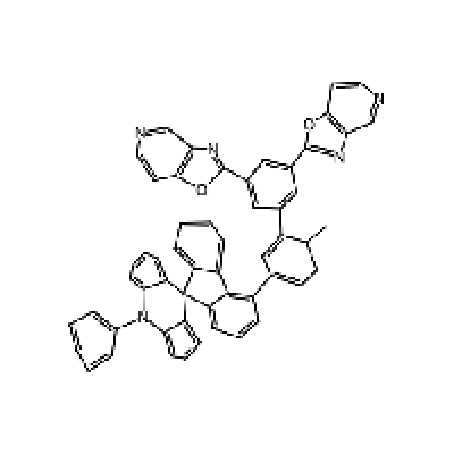 CC1CC=C(c2cccc3c2-c2ccccc2C32c3ccccc3N(c3ccccc3)c3ccccc32)C=C1c1cc(-c2nc3cnccc3o2)cc(-c2nc3cnccc3o2)c1